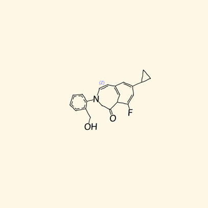 O=C1CN(c2ccccc2CO)/C=C\C2=CC1C(F)=CC(C1CC1)=C2